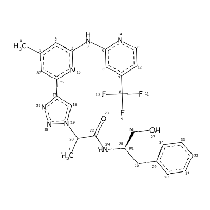 Cc1cc(Nc2cc(C(F)(F)F)ccn2)nc(-c2cn(C(C)C(=O)N[C@@H](CO)Cc3ccccc3)nn2)c1